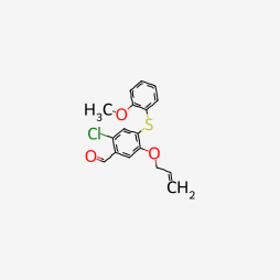 C=CCOc1cc(C=O)c(Cl)cc1Sc1ccccc1OC